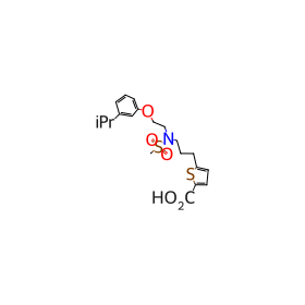 CC(C)c1cccc(OCCN(CCCc2ccc(C(=O)O)s2)S(C)(=O)=O)c1